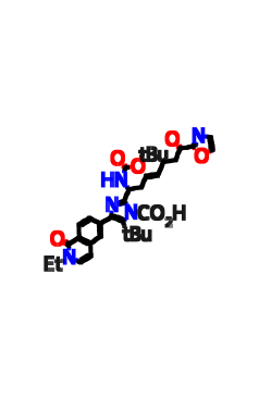 CCn1ccc2cc(-c3nc(C(CC=CCCC(=O)c4ncco4)NC(=O)OC(C)(C)C)n(C(=O)O)c3C(C)(C)C)ccc2c1=O